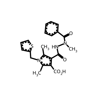 Cc1c(C(=O)O)c(C(=O)NN(C)C(=O)c2ccccc2)c(C)n1Cc1cccs1